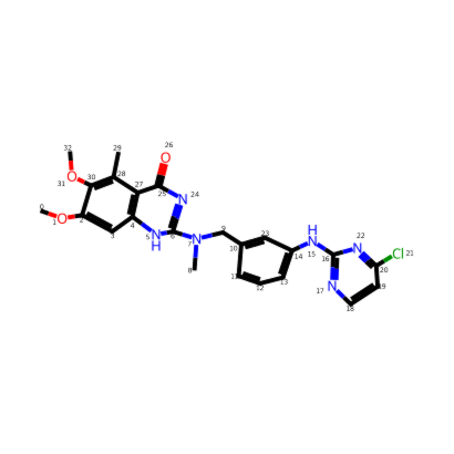 COc1cc2[nH]c(N(C)Cc3cccc(Nc4nccc(Cl)n4)c3)nc(=O)c2c(C)c1OC